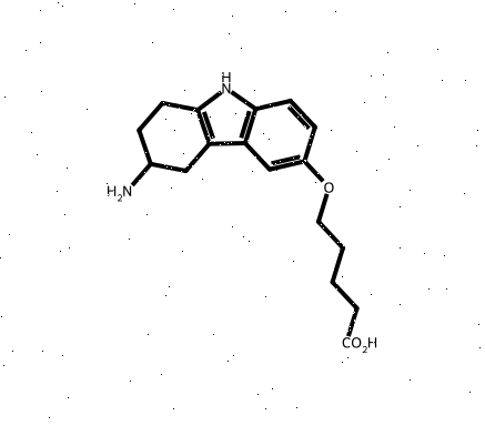 NC1CCc2[nH]c3ccc(OCCCCC(=O)O)cc3c2C1